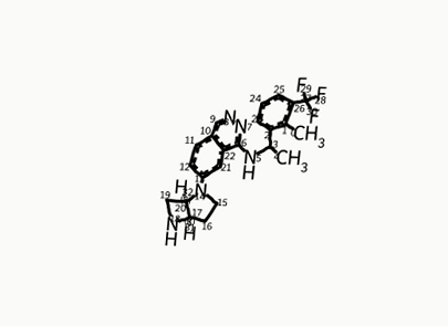 Cc1c(C(C)Nc2nncc3ccc(N4CC[C@H]5NC[C@H]54)cc23)cccc1C(F)(F)F